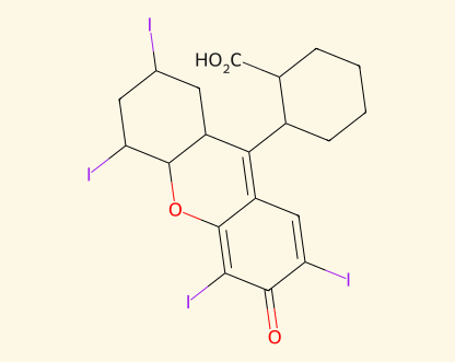 O=C1C(I)=CC2=C(C3CCCCC3C(=O)O)C3CC(I)CC(I)C3OC2=C1I